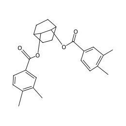 Cc1ccc(C(=O)OC2C3CCC(CC3)C2OC(=O)c2ccc(C)c(C)c2)cc1C